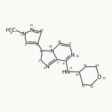 Cn1cc(C2CN=C3C(NC4CCOCC4)=NC=CN32)cn1